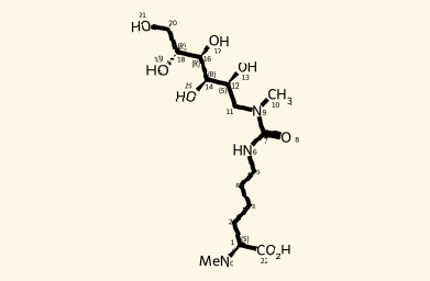 CN[C@@H](CCCCNC(=O)N(C)C[C@H](O)[C@@H](O)[C@H](O)[C@H](O)CO)C(=O)O